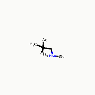 CC(=O)C(C)(C)CNC(C)(C)C